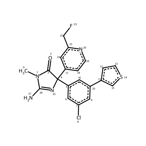 CN1C(=O)C(c2cc(Cl)cc(-c3ccsc3)c2)(c2ccnc(CF)c2)N=C1N